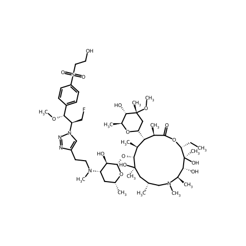 CC[C@H]1OC(=O)[C@H](C)[C@@H](C2C[C@@](C)(OC)[C@@H](O)[C@H](C)O2)[C@H](C)[C@@H](O[C@@H]2O[C@H](C)C[C@H](N(C)CCc3cn([C@H](CF)[C@H](OC)c4ccc(S(=O)(=O)CCO)cc4)nn3)[C@H]2O)[C@](C)(O)C[C@@H](C)CN(C)[C@H](C)[C@@H](O)[C@]1(C)O